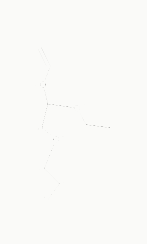 C=COC(COCCC)OCC